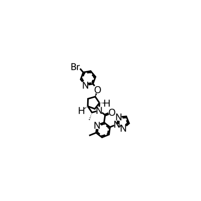 Cc1ccc(-n2nccn2)c(C(=O)N2[C@H](C)[C@H]3C[C@@H](Oc4ccc(Br)cn4)[C@@H]2C3)n1